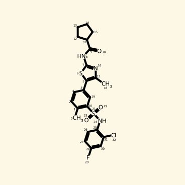 Cc1ccc(-c2sc(NC(=O)C3CCCC3)nc2C)cc1S(=O)(=O)Nc1ccc(F)cc1Cl